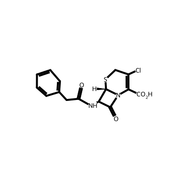 O=C(Cc1ccccc1)N[C@@H]1C(=O)N2C(C(=O)O)=C(Cl)CS[C@@H]12